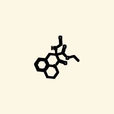 CCOC(=O)C1(NC=O)Cc2cccc3c2N(CCC3)C1=O